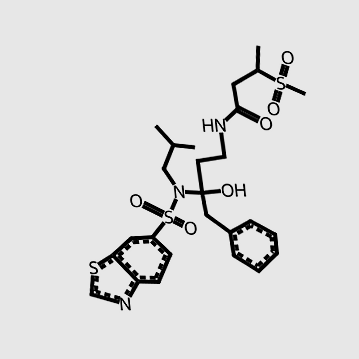 CC(C)CN(C(O)(CCNC(=O)CC(C)S(C)(=O)=O)Cc1ccccc1)S(=O)(=O)c1ccc2ncsc2c1